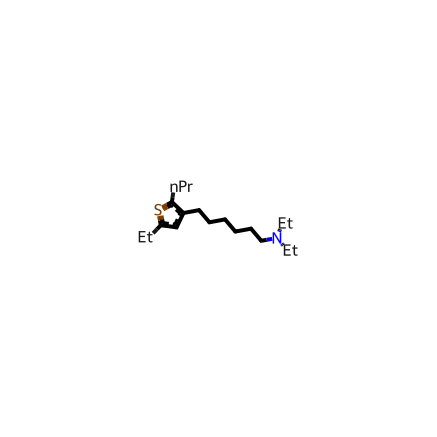 CCCc1sc(CC)cc1CCCCCCN(CC)CC